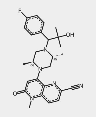 C[C@@H]1CN(c2cc(=O)n(C)c3ccc(C#N)nc23)[C@@H](C)CN1C(c1ccc(F)cc1)C(C)(C)O